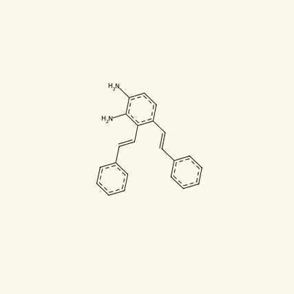 Nc1ccc(C=Cc2ccccc2)c(C=Cc2ccccc2)c1N